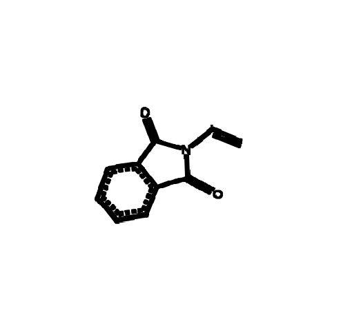 C=[C]N1C(=O)c2ccccc2C1=O